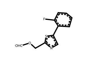 O=[C]OCc1ncc(-c2ccccc2F)s1